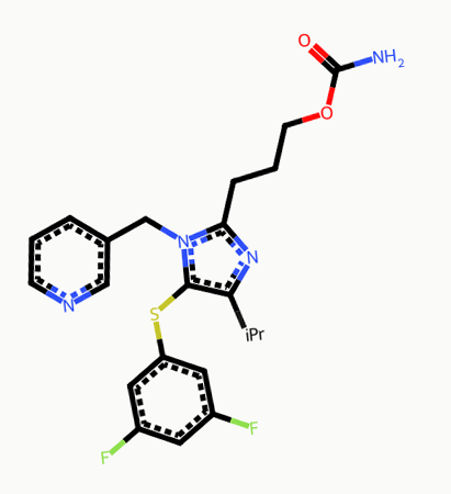 CC(C)c1nc(CCCOC(N)=O)n(Cc2cccnc2)c1Sc1cc(F)cc(F)c1